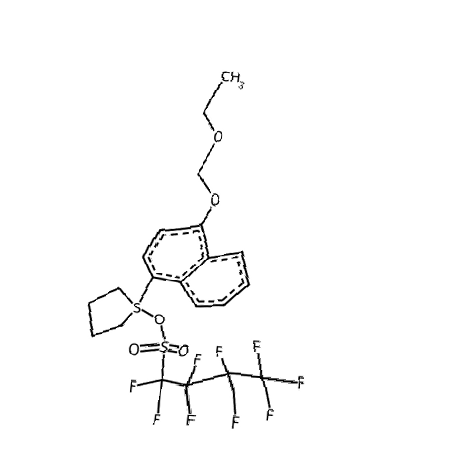 CCOCOc1ccc(S2(OS(=O)(=O)C(F)(F)C(F)(F)C(F)(F)C(F)(F)F)CCCC2)c2ccccc12